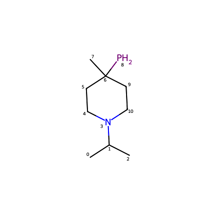 CC(C)N1CCC(C)(P)CC1